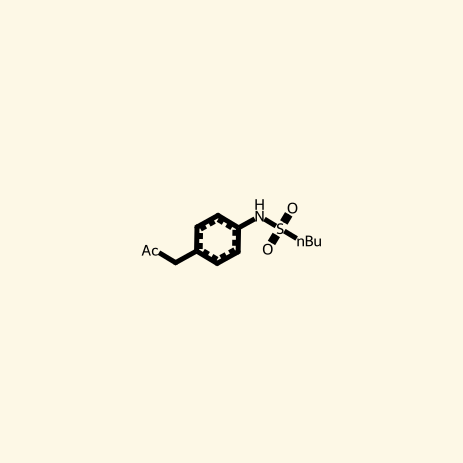 CCCCS(=O)(=O)Nc1ccc(CC(C)=O)cc1